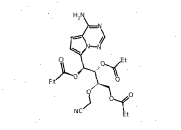 CCC(=O)OC[C@@H](OCC#N)[C@@H](OC(=O)CC)[C@@H](OC(=O)CC)c1ccc2c(N)ncnn12